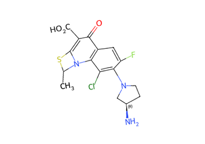 CC1Sc2c(C(=O)O)c(=O)c3cc(F)c(N4CC[C@@H](N)C4)c(Cl)c3n21